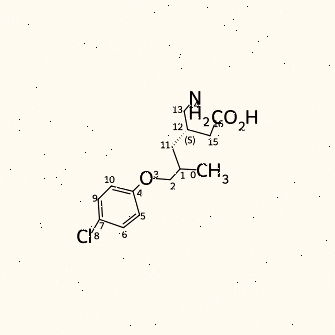 CC(COc1ccc(Cl)cc1)C[C@H](CN)CC(=O)O